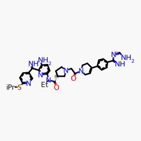 CCN(C(=O)[C@@H]1CCN(CC(=O)N2CC=C(c3ccc(C(=N)/N=C\N)cc3)CC2)C1)c1ccc(N)c(C(=N)c2ccc(SC(C)C)nc2)n1